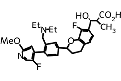 CCN(CC)Cc1cc(C2CCc3ccc([C@H](O)[C@H](C)C(=O)O)c(F)c3O2)ccc1-c1cc(OC)ncc1F